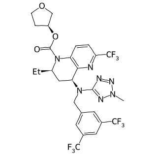 CC[C@@H]1C[C@H](N(Cc2cc(C(F)(F)F)cc(C(F)(F)F)c2)c2nnn(C)n2)c2nc(C(F)(F)F)ccc2N1C(=O)O[C@H]1CCOC1